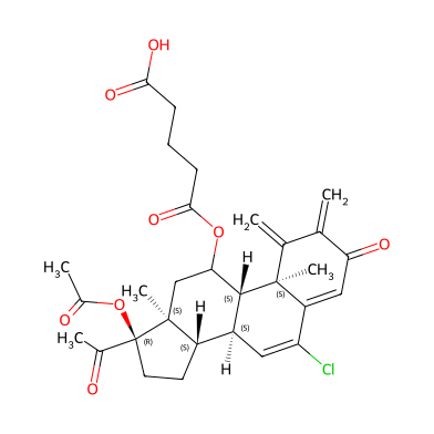 C=C1C(=C)[C@@]2(C)C(=CC1=O)C(Cl)=C[C@@H]1[C@@H]2C(OC(=O)CCCC(=O)O)C[C@@]2(C)[C@H]1CC[C@]2(OC(C)=O)C(C)=O